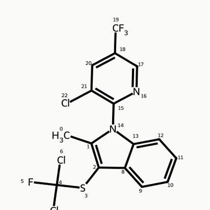 Cc1c(SC(F)(Cl)Cl)c2ccccc2n1-c1ncc(C(F)(F)F)cc1Cl